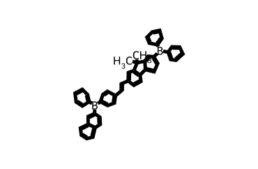 CC1(C)c2cc(/C=C/c3ccc(B(c4ccccc4)c4ccc5ccccc5c4)cc3)ccc2-c2ccc(B(c3ccccc3)c3ccccc3)cc21